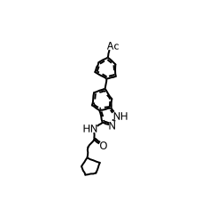 CC(=O)c1ccc(-c2ccc3c(NC(=O)CC4CCCC4)n[nH]c3c2)cc1